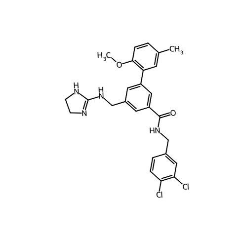 COc1ccc(C)cc1-c1cc(CNC2=NCCN2)cc(C(=O)NCc2ccc(Cl)c(Cl)c2)c1